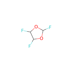 FC1OC(F)C(F)O1